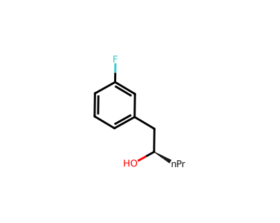 CCC[C@@H](O)Cc1cccc(F)c1